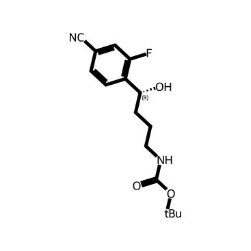 CC(C)(C)OC(=O)NCCC[C@@H](O)c1ccc(C#N)cc1F